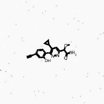 C#Cc1ccc(-c2nnc(C(OC)C(N)=O)cc2C2CC2)c(O)c1